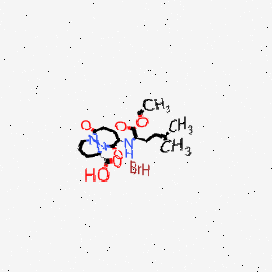 Br.CCOC(=O)[C@@H](CCC(C)C)N[C@H]1CCC(=O)N2CCC[C@@H](C(=O)O)N2C1=O